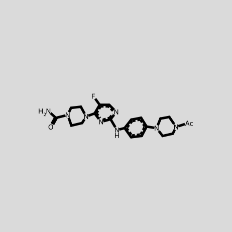 CC(=O)N1CCN(c2ccc(Nc3ncc(F)c(N4CCN(C(N)=O)CC4)n3)cc2)CC1